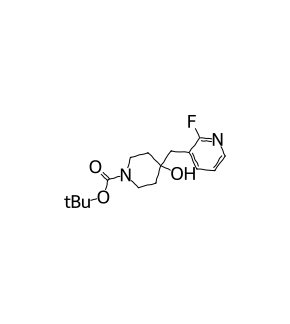 CC(C)(C)OC(=O)N1CCC(O)(Cc2cccnc2F)CC1